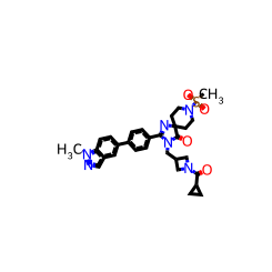 Cn1ncc2cc(-c3ccc(C4=NC5(CCN(S(C)(=O)=O)CC5)C(=O)N4CC4CN(C(=O)C5CC5)C4)cc3)ccc21